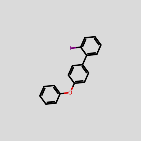 Ic1ccccc1-c1ccc(Oc2ccccc2)cc1